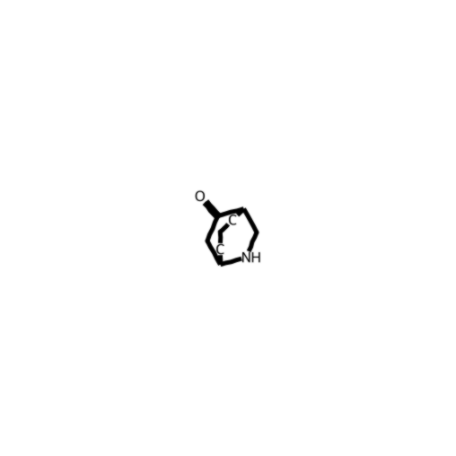 O=C1CC2CCCC1CN2